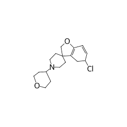 ClC1C=CC2=C(C1)C1(CCN(C3CCOCC3)CC1)CO2